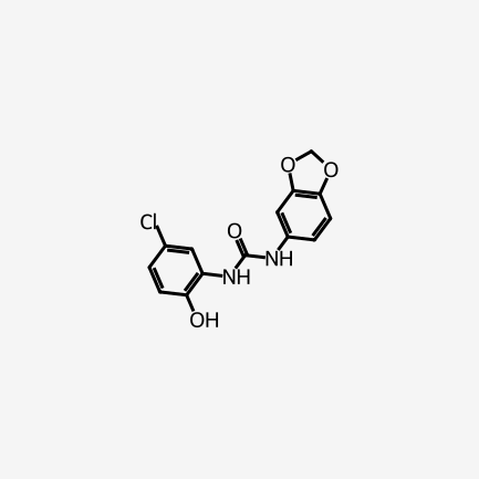 O=C(Nc1ccc2c(c1)OCO2)Nc1cc(Cl)ccc1O